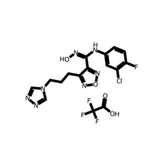 O/N=C(/Nc1ccc(F)c(Cl)c1)c1nonc1CCCn1cnnc1.O=C(O)C(F)(F)F